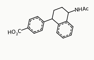 CC(=O)NC1CCC(c2ccc(C(=O)O)cc2)c2ccccc21